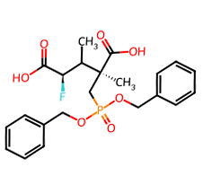 CC([C@@H](F)C(=O)O)[C@](C)(CP(=O)(OCc1ccccc1)OCc1ccccc1)C(=O)O